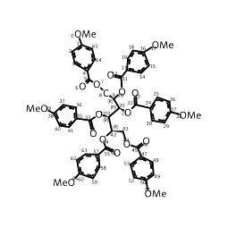 COc1ccc(C(=O)OC[C@@H](OC(=O)c2ccc(OC)cc2)[C@@H](OC(=O)c2ccc(OC)cc2)[C@H](OC(=O)c2ccc(OC)cc2)[C@@H](COC(=O)c2ccc(OC)cc2)OC(=O)c2ccc(OC)cc2)cc1